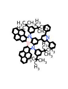 CC(C)(C)c1cc(N2c3cc(-c4cc(-c5ccccc5)nc(-c5ccccc5)c4)cc4c3B(c3cc5ccc6cccc7ccc(c32)c5c67)c2cc3ccc5cccc6ccc(c2N4c2cc(C(C)(C)C)cc(C(C)(C)C)c2)c3c56)cc(C(C)(C)C)c1